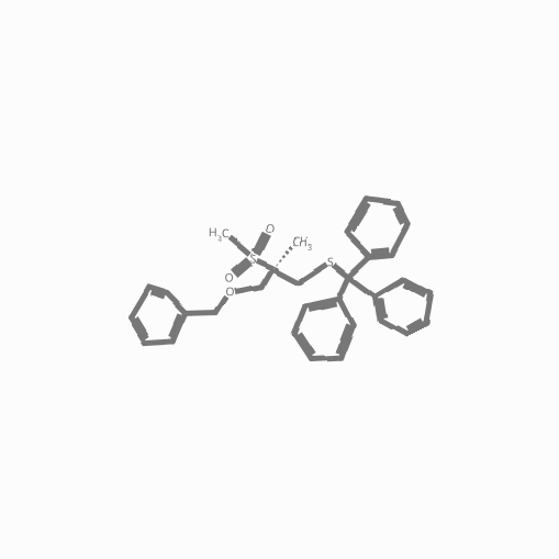 C[C@@](COCc1ccccc1)(CSC(c1ccccc1)(c1ccccc1)c1ccccc1)S(C)(=O)=O